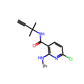 C#CC(C)(C)NC(=O)c1ccc(Cl)nc1NC(C)C